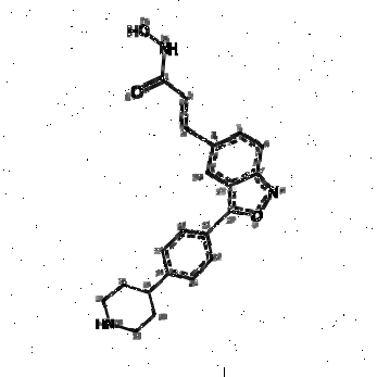 O=C(/C=C/c1ccc2noc(-c3ccc(C4CCNCC4)cc3)c2c1)NO